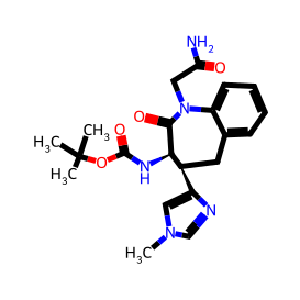 Cn1cnc([C@@H]2Cc3ccccc3N(CC(N)=O)C(=O)[C@@H]2NC(=O)OC(C)(C)C)c1